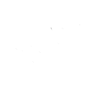 CCOC(=O)c1cnn2cc(N3CCOCC3)c(NCc3cc(F)cnc3O[C@@H](C)CNC(=O)OC(C)(C)C)nc12